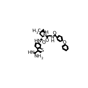 C[C@@]12C[C@@H]1N(C(=O)CNC(=O)c1ccc(Oc3ccccc3)cc1)[C@H](C(=O)Nc1ccc3c(C(=N)N)csc3c1)C2